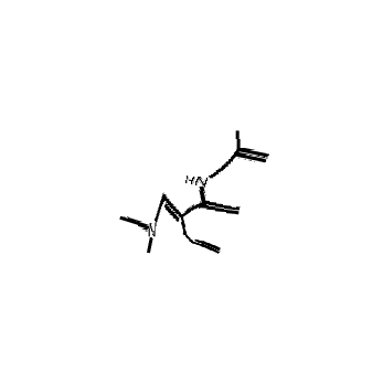 C=C/C(=C\N(C)C)C(=C)NC(=C)C